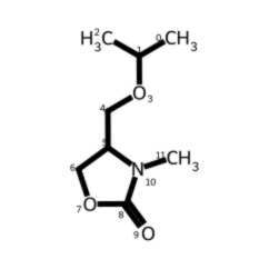 CC(C)OCC1COC(=O)N1C